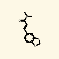 CN(C)C(=O)C=Cc1ccc2c(c1)OCO2